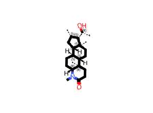 C[C@@H](O)[C@H]1[C@@H](C)C[C@H]2[C@@H]3CC[C@H]4N(C)C(=O)CC[C@]4(C)[C@H]3CC[C@]12C